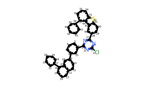 Clc1nc(-c2cccc(-c3ccc4cccc(-c5ccccc5)c4c3)c2)nc(-c2ccc3sc4cccc(-c5ccccc5)c4c3c2)n1